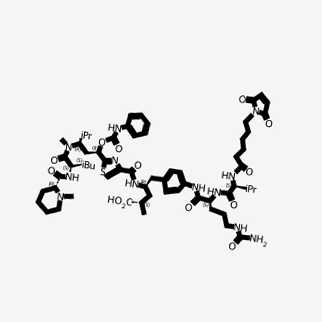 CC[C@H](C)[C@H](NC(=O)[C@H]1CCCCN1C)C(=O)N(C)[C@H](C[C@@H](OC(=O)Nc1ccccc1)c1nc(C(=O)N[C@@H](Cc2ccc(NC(=O)[C@H](CCCNC(N)=O)NC(=O)[C@@H](NC(=O)CCCCCN3C(=O)C=CC3=O)C(C)C)cc2)C[C@H](C)C(=O)O)cs1)C(C)C